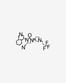 N#CC1CN([C@@H]2CCN(CCC(F)(F)F)C2)C(=O)N1c1cncc2ccccc12